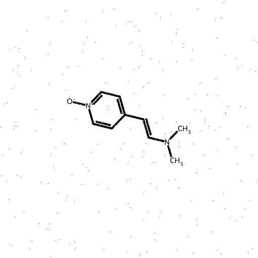 CN(C)/C=C/c1cc[n+]([O-])cc1